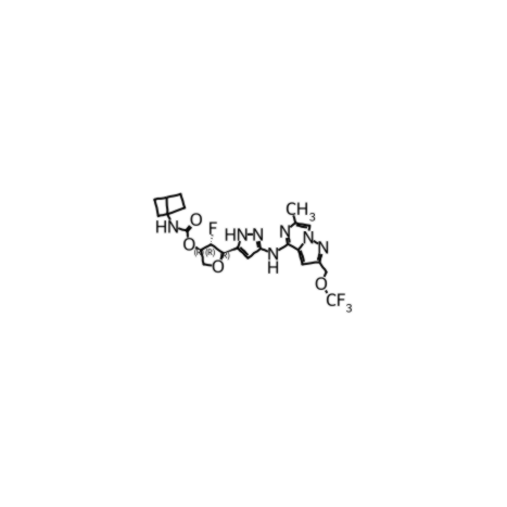 Cc1cn2nc(COC(F)(F)F)cc2c(Nc2cc([C@H]3OC[C@@H](OC(=O)NC45CCC4CC5)[C@@H]3F)[nH]n2)n1